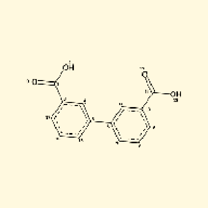 O=C(O)c1[c]c(-c2cccc(C(=O)O)c2)ccc1